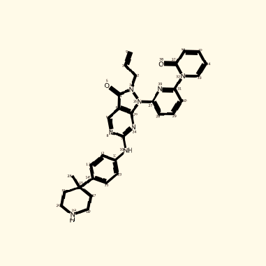 C=CCn1c(=O)c2cnc(Nc3ccc(C4(C)CCNCC4)cc3)nc2n1-c1cccc(-n2ccccc2=O)n1